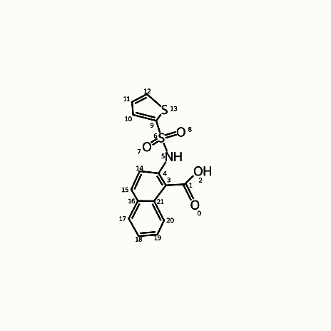 O=C(O)c1c(NS(=O)(=O)c2cccs2)ccc2ccccc12